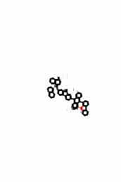 CCCCC1(CCCC)c2ccccc2-c2cccc(-c3c4ccccc4c(-c4ccc5c(c4)C(C)(C)c4cc(N(c6ccc(C)c7ccccc67)c6ccc(C)c7ccccc67)ccc4-5)c4ccccc34)c21